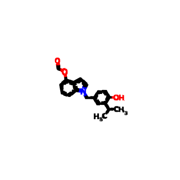 CC(C)c1cc(Cn2ccc3c(OC=O)cccc32)ccc1O